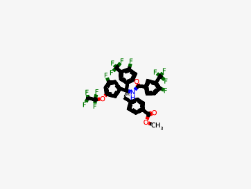 COC(=O)c1ccc(C[C@](NC(=O)c2ccc(F)c(C(F)(F)F)c2)(c2cc(F)cc(OC(F)(F)C(F)F)c2)c2ccc(F)c(C(F)(F)F)c2)cc1